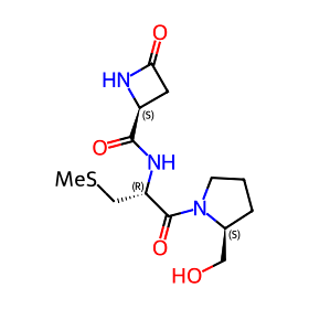 CSC[C@H](NC(=O)[C@@H]1CC(=O)N1)C(=O)N1CCC[C@H]1CO